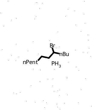 CCCCCCCC(Br)CCCC.P